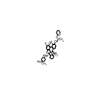 C[C@@H](COc1ccc(C(N)=O)c(-c2c(Cl)c(F)cc3c2[C@H](C)[C@@](CN[C@H]2CC[C@](C)(O)CC2)(c2ccccc2)O3)c1F)OC1CCCCO1